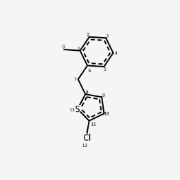 Cc1ccccc1Cc1ccc(Cl)s1